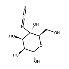 OC[C@H]1O[C@H](O)[C@@H](O)[C@@H](O)[C@@]1(O)N=C=S